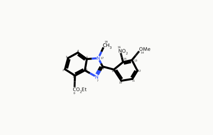 CCOC(=O)c1cccc2c1nc(-c1cccc(OC)c1[N+](=O)[O-])n2C